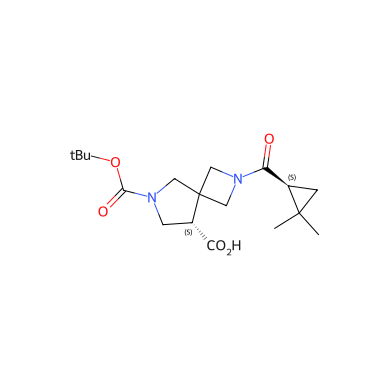 CC(C)(C)OC(=O)N1C[C@@H](C(=O)O)C2(C1)CN(C(=O)[C@H]1CC1(C)C)C2